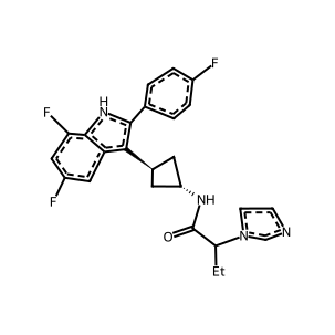 CCC(C(=O)N[C@H]1C[C@H](c2c(-c3ccc(F)cc3)[nH]c3c(F)cc(F)cc32)C1)n1ccnc1